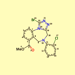 COC(=O)c1cccc2c1CN(c1ccccc1Cl)Cc1nnc(Br)n1-2